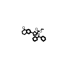 CCOC(=O)C1(N=C(c2ccccc2)c2ccccc2)C=CC(c2ccc3c(c2)CCCC3=O)C1